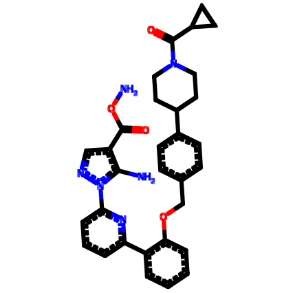 NOC(=O)c1cnn(-c2cccc(-c3ccccc3OCc3ccc(C4CCN(C(=O)C5CC5)CC4)cc3)n2)c1N